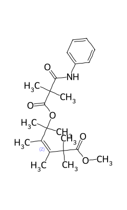 COC(=O)C(C)(C)/C(C)=C(/C)C(C)(C)OC(=O)C(C)(C)C(=O)Nc1ccccc1